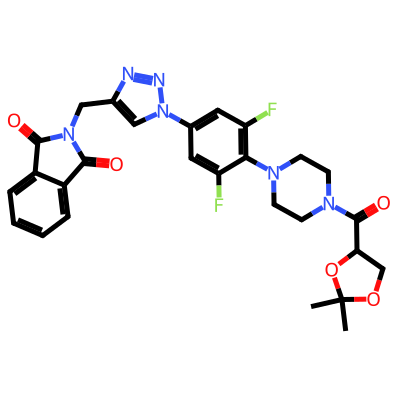 CC1(C)OCC(C(=O)N2CCN(c3c(F)cc(-n4cc(CN5C(=O)c6ccccc6C5=O)nn4)cc3F)CC2)O1